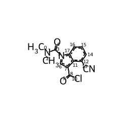 CN(C)C(=O)n1cc(C(=O)Cl)c2c(C#N)cccc21